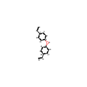 C=Cc1ccc(Oc2ccc(C=C)cc2)cc1